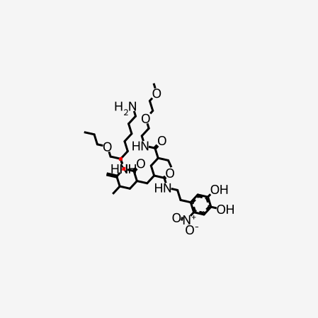 C=C(NCCCCCCN)C(C)CC(CC(CC(CC)C(=O)NCCOCCOC)C(=O)NCCc1cc(O)c(O)cc1[N+](=O)[O-])C(=O)NCCOCCC